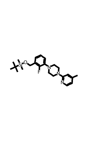 Cc1ccnc(N2CCN(c3cccc(CO[Si](C)(C)C(C)(C)C)c3F)CC2)c1